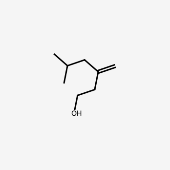 C=C(CCO)CC(C)C